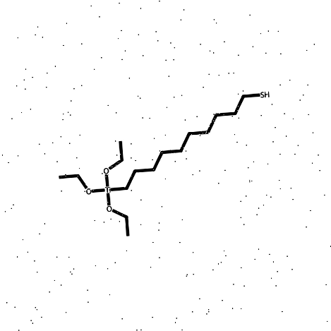 CC[O][Ti]([CH2]CCCCCCCCCS)([O]CC)[O]CC